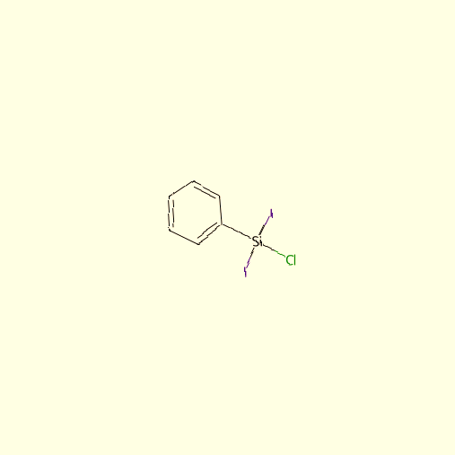 Cl[Si](I)(I)c1ccccc1